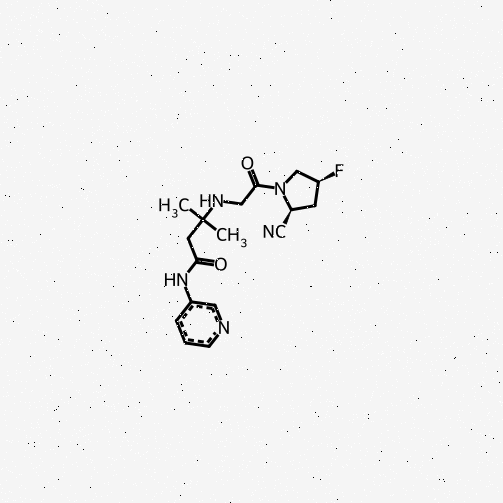 CC(C)(CC(=O)Nc1cccnc1)NCC(=O)N1C[C@@H](F)C[C@H]1C#N